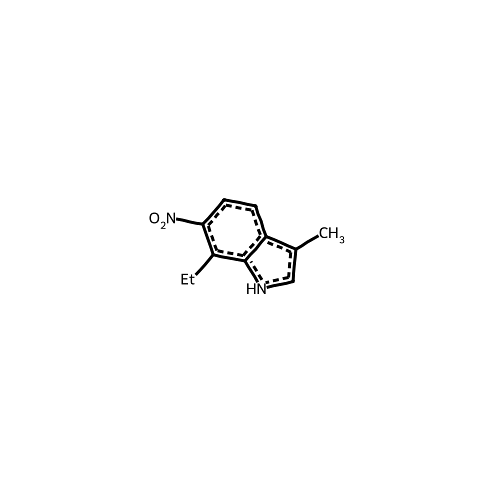 CCc1c([N+](=O)[O-])ccc2c(C)c[nH]c12